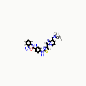 CN(C)Cc1cccn2c(-c3csc(Nc4ccc(C(=O)Nc5ccccc5N)cc4)n3)cnc12